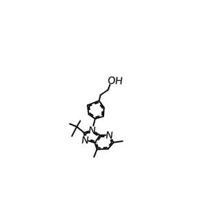 Cc1cc(C)c2nc(C(C)(C)C)n(-c3ccc(CCO)cc3)c2n1